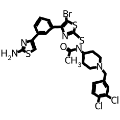 CC(=O)N(Sc1nc(-c2cccc(-c3csc(N)n3)c2)c(Br)s1)C1CCN(Cc2ccc(Cl)c(Cl)c2)CC1